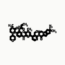 C=CC(=O)Nc1cc(Nc2nc(-c3ccnc(N4CCn5c(cc6c5CC(C)(C)C6)C4=O)c3CO)cn(C)c2=O)ccc1[C@@H]1C(=O)N(C)CCN1C1CCOCC1